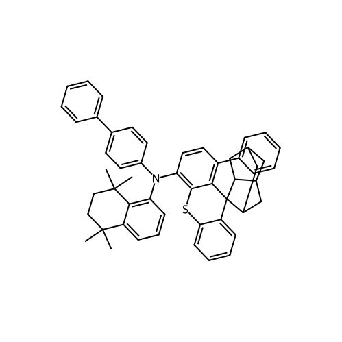 CC1(C)CCC(C)(C)c2c(N(c3ccc(-c4ccccc4)cc3)c3ccc(-c4ccccc4)c4c3Sc3ccccc3C43C4CC5CC(C4)C3C5)cccc21